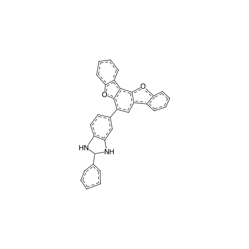 c1ccc(C2Nc3ccc(-c4cc5c6ccccc6oc5c5c4oc4ccccc45)cc3N2)cc1